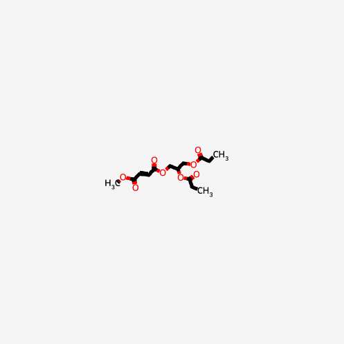 CCC(=O)OCC(COC(=O)/C=C/C(=O)OC)OC(=O)CC